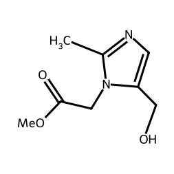 COC(=O)Cn1c(CO)cnc1C